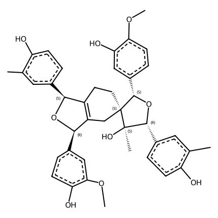 COc1ccc([C@@H]2O[C@H](c3ccc(O)c(C)c3)[C@@](C)(O)[C@]23CCC2=C(C3)[C@@H](c3ccc(O)c(OC)c3)O[C@H]2c2ccc(O)c(C)c2)cc1O